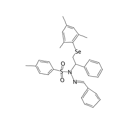 Cc1ccc(S(=O)(=O)N(N=Cc2ccccc2)C(C[Se]c2c(C)cc(C)cc2C)c2ccccc2)cc1